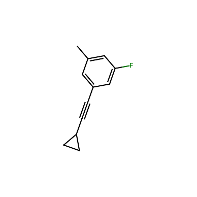 Cc1cc(F)cc(C#CC2CC2)c1